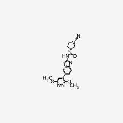 COc1cc(-c2ccc3nc(NC(=O)[C@H]4CCN(C#N)C4)cn3c2)c(OC)nn1